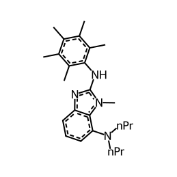 CCCN(CCC)c1cccc2nc(Nc3c(C)c(C)c(C)c(C)c3C)n(C)c12